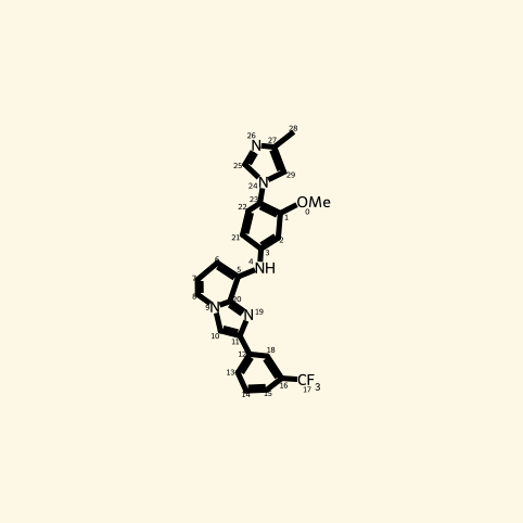 COc1cc(Nc2cccn3cc(-c4cccc(C(F)(F)F)c4)nc23)ccc1-n1cnc(C)c1